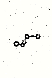 C(#Cc1cccc(-n2cc3c(n2)C(c2ccccc2)CC3)c1)c1cccnc1